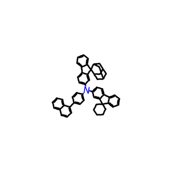 c1ccc2c(c1)-c1ccc(N(c3ccc(-c4cccc5ccccc45)cc3)c3ccc4c(c3)C3(c5ccccc5-4)C4CC5CC(C4)CC3C5)cc1C21CCCCC1